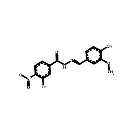 COc1cc(C=NNC(=O)c2ccc([N+](=O)[O-])c(O)c2)ccc1O